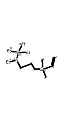 C=C[Si](C)(C)CCCN(CC)[Si](CC)(CC)CC